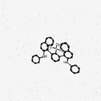 CS(C)(C)c1c(-c2c(Nc3ccccc3)ccc3ccccc23)cccc1-c1c(Nc2ccccc2)ccc2ccccc12